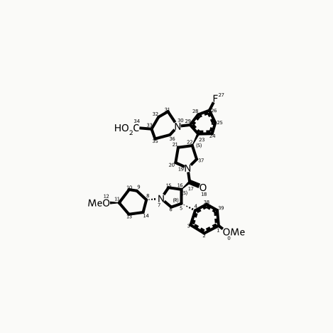 COc1ccc([C@@H]2CN([C@H]3CC[C@H](OC)CC3)C[C@H]2C(=O)N2CC[C@@H](c3ccc(F)cc3N3CCC(C(=O)O)CC3)C2)cc1